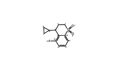 O=S1(=O)CCC(C2CC2)c2c(F)cccc21